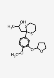 COc1ccc(C2(CC(C)O)SCCCS2)cc1OC1CCCO1